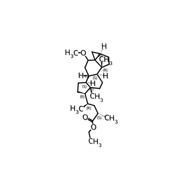 CCOC(=O)[C@@H](C)C[C@@H](C)[C@H]1CC[C@H]2[C@@H]3CC(OC)C45C[C@H]4CC[C@]5(C)[C@H]3CC[C@]12C